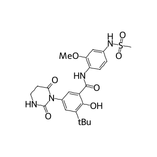 COc1cc(NS(C)(=O)=O)ccc1NC(=O)c1cc(N2C(=O)CCNC2=O)cc(C(C)(C)C)c1O